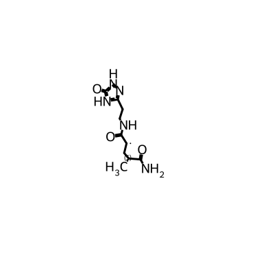 C[C@@H](C[CH]C(=O)NCCc1n[nH]c(=O)[nH]1)C(N)=O